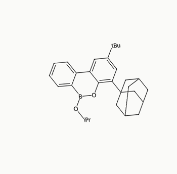 CC(C)OB1Oc2c(cc(C(C)(C)C)cc2C23CC4CC(CC(C4)C2)C3)-c2ccccc21